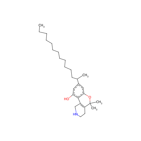 CCCCCCCCCCCCC(C)c1cc(O)c2c(c1)OC(C)(C)C1=C2CNCC1